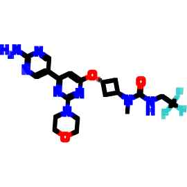 CN(C(=O)NCC(F)(F)F)[C@H]1C[C@H](Oc2cc(-c3cnc(N)nc3)nc(N3CCOCC3)n2)C1